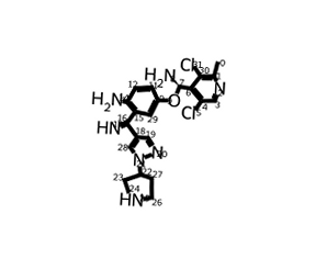 Cc1ncc(Cl)c([C@@H](N)Oc2ccc(N)c(C(=N)c3cnn(C4CCNCC4)c3)c2)c1Cl